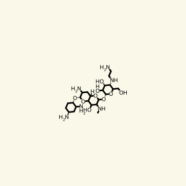 CNC1C(O[C@H]2OC(CO)[C@@H](NCCN)[C@H](O)C2O)O[C@H]2CC(N)[C@@H](O[C@H]3CC[C@H](N)CC3N)OC2C1O